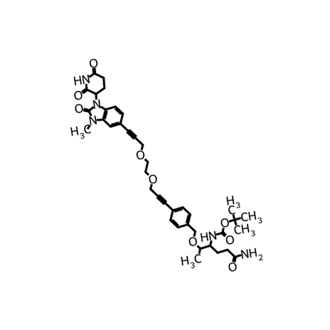 CC(OCc1ccc(C#CCOCCOCC#Cc2ccc3c(c2)n(C)c(=O)n3C2CCC(=O)NC2=O)cc1)C(CCC(N)=O)NC(=O)OC(C)(C)C